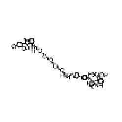 C=C(CN1CCC(c2ccc(Nc3ncc(C)c(Nc4cccc(C(C)(O)NC(C)(C)C)c4)n3)cc2)CC1)NCCOCCOCCOCCOCCOCCNc1cccc2c1C(=O)C(C1CCC(=O)CC1=O)C2=C